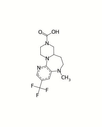 CN1CCC2CN(C(=O)O)CCN2c2ncc(C(F)(F)F)cc21